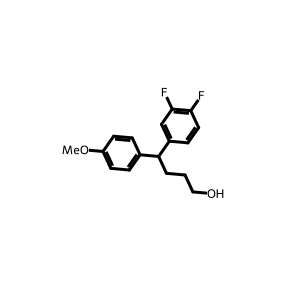 COc1ccc(C(CCCO)c2ccc(F)c(F)c2)cc1